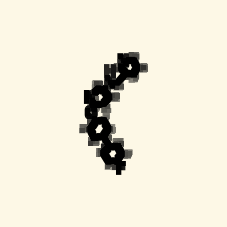 Fc1ccc(-c2ccc(Oc3ccc(NCc4cccnc4)cn3)cc2)cc1